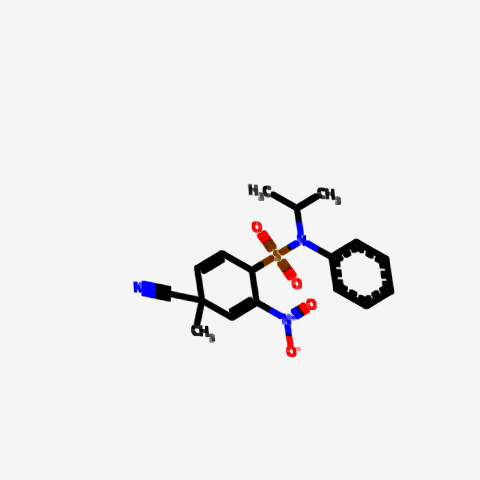 CC(C)N(c1ccccc1)S(=O)(=O)C1C=CC(C)(C#N)C=C1[N+](=O)[O-]